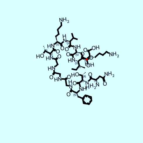 CC[C@H](C)[C@H](NC(=O)[C@H](CCC(=O)O)NC(=O)[C@@H](NC(=O)[C@H](CCCCN)NC(=O)[C@@H](NC(=O)CNC(=O)CNC(=O)CNC(=O)[C@H](Cc1ccccc1)NC(=O)[C@@H](NC(=O)[C@@H](N)CC(N)=O)[C@@H](C)O)[C@@H](C)O)C(C)C)C(=O)N[C@@H](CCCCN)C(=O)O